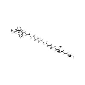 CCC(C)(C)OC(=O)CCCCCCCCCCCCCCCCC(=O)NCCCN